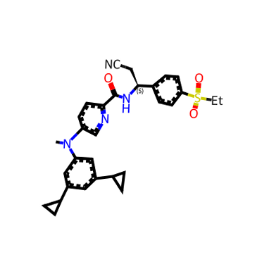 CCS(=O)(=O)c1ccc([C@H](CC#N)NC(=O)c2ccc(N(C)c3cc(C4CC4)cc(C4CC4)c3)cn2)cc1